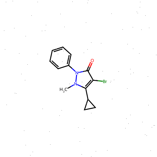 Cn1c(C2CC2)c(Br)c(=O)n1-c1ccccc1